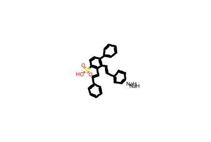 O=S(=O)(O)c1ccc(-c2ccccc2)c(C=Cc2ccccc2)c1C=Cc1ccccc1.[NaH].[NaH]